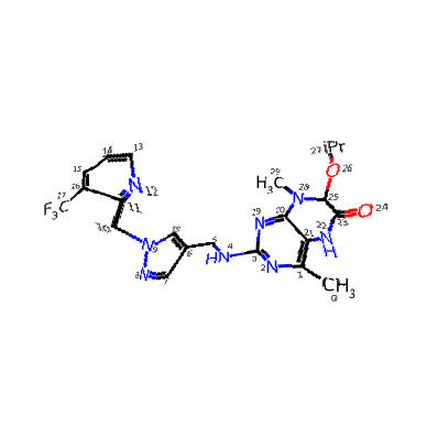 Cc1nc(NCc2cnn(Cc3ncccc3C(F)(F)F)c2)nc2c1NC(=O)C(OC(C)C)N2C